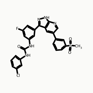 CS(=O)(=O)c1cccc(-c2cnc3[nH]nc(-c4cc(F)cc(NC(=O)Nc5cccc(Cl)c5)c4)c3c2)c1